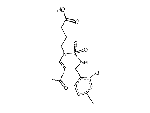 CC(=O)C1=CN(CCCC(=O)O)S(=O)(=O)NC1c1ccc(C)cc1Cl